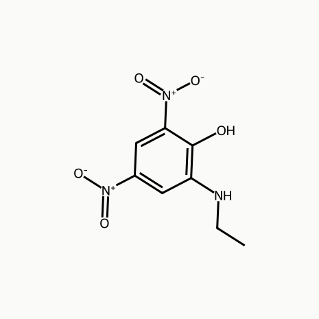 CCNc1cc([N+](=O)[O-])cc([N+](=O)[O-])c1O